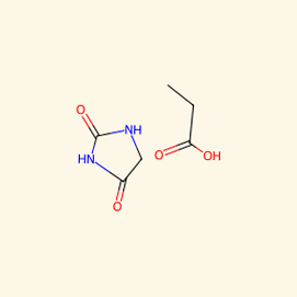 CCC(=O)O.O=C1CNC(=O)N1